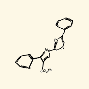 CCOC(=O)c1cn(-c2nc(-c3ccccc3)cs2)nc1-c1ccccc1